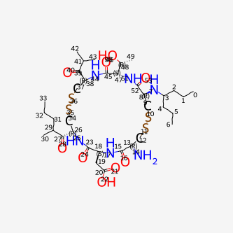 CCCC(CCC)N[C@H]1CSSC[C@H](N)C(=O)N[C@@H](CC(=O)O)C(=O)N[C@H](C(=O)C(C)CCC)CSSC[C@@H](C(=O)C(C)C)NC(=O)[C@H]([C@@H](C)O)NC1=O